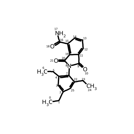 CCc1cc(CC)c(N2C(=O)c3cccc(C(N)=O)c3C2=O)c(CC)c1